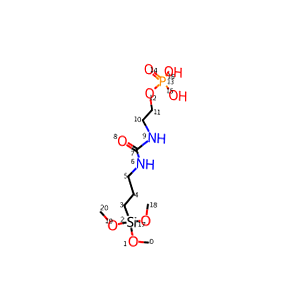 CO[Si](CCCNC(=O)NCCOP(=O)(O)O)(OC)OC